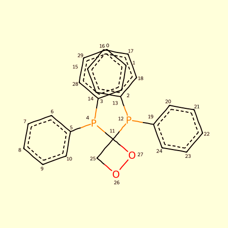 c1ccc(P(c2ccccc2)C2(P(c3ccccc3)c3ccccc3)COO2)cc1